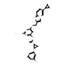 COc1nc(NCc2cn3cc(C4CC4)ccc3n2)cc(NC(=O)[C@@H]2C[C@H]2c2cccc(Cl)c2)n1